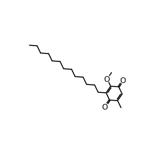 CCCCCCCCCCCCCC1=C(OC)C(=O)C=C(C)C1=O